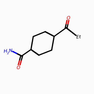 CCC(=O)C1CCC(C(N)=O)CC1